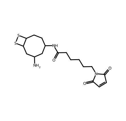 NC1CC(NC(=O)CCCCCN2C(=O)C=CC2=O)CCC2SSC2C1